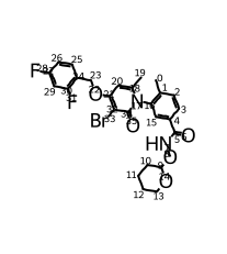 Cc1ccc(C(=O)NOC2CCCCO2)cc1-n1c(C)cc(OCc2ccc(F)cc2F)c(Br)c1=O